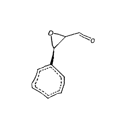 O=CC1O[C@@H]1c1ccccc1